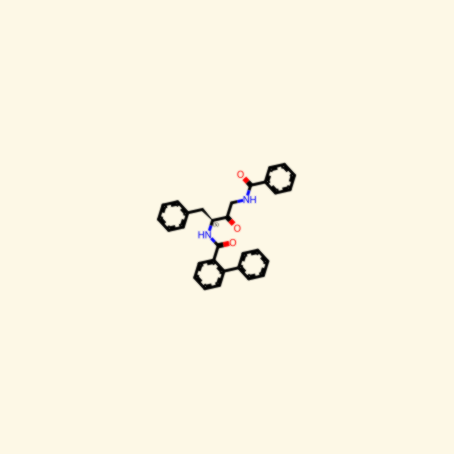 O=C(NCC(=O)[C@H](Cc1ccccc1)NC(=O)c1ccccc1-c1ccccc1)c1ccccc1